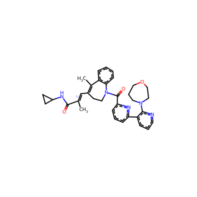 CC1=C(/C=C(\C)C(=O)NC2CC2)CCN(C(=O)c2cccc(-c3cccnc3N3CCCOCC3)n2)c2ccccc21